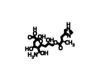 C[C@H](Cc1c[nH]cn1)C(=O)OC[C@@H](O)CC1OC(O)(C(=O)O)CC(O)C1[C@@H](N)O